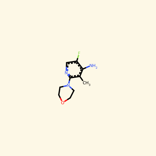 Cc1c(N2CCOCC2)ncc(F)c1N